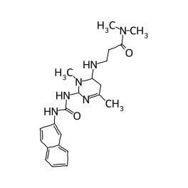 CC1=NC(NC(=O)Nc2ccc3ccccc3c2)N(C)C(NCCC(=O)N(C)C)C1